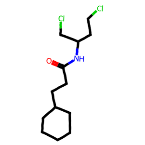 O=C(CCC1CCCCC1)NC(CCl)CCCl